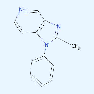 FC(F)(F)c1nc2cnccc2n1-c1ccccc1